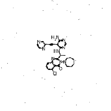 CC(Nc1ncnc(N)c1C#Cc1cnccn1)c1nc2cccc(Cl)c2c(=O)n1N1CCCCCC1